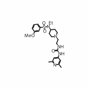 CCN(C1CCN(CCNC(=O)Nc2cc(C)nc(C)c2)CC1)S(=O)(=O)c1cccc(OC)c1